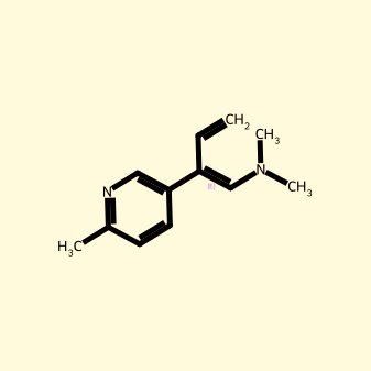 C=C/C(=C\N(C)C)c1ccc(C)nc1